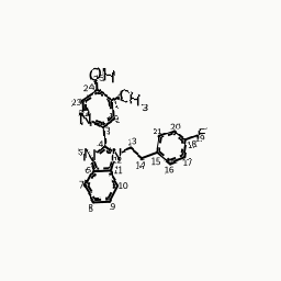 Cc1cc(-c2nc3ccccc3n2CCc2ccc(F)cc2)ncc1O